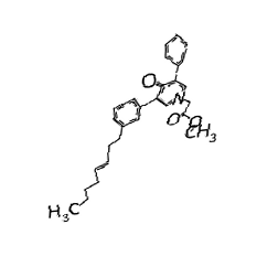 CCCC/C=C/CCc1cccc(-c2cn(CC(=O)OC)cc(-c3ccccc3)c2=O)c1